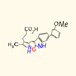 COc1cccc(-c2ccc3c(c2)NC(=O)/C3=C\c2[nH]cc(C)c2CCC(=O)O)c1